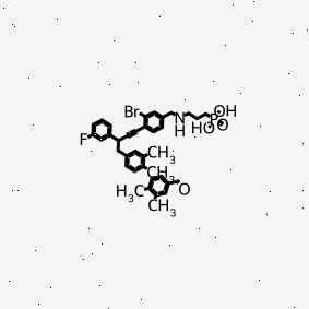 Cc1ccc(C=O)cc1C.Cc1ccc(CC(C#Cc2ccc(CNCCCP(=O)(O)O)cc2Br)c2cccc(F)c2)cc1C